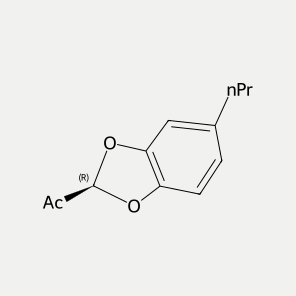 CCCc1ccc2c(c1)O[C@H](C(C)=O)O2